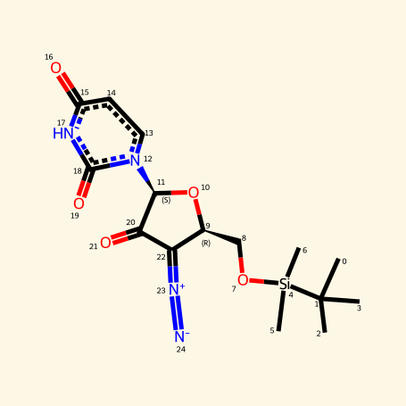 CC(C)(C)[Si](C)(C)OC[C@@H]1O[C@H](n2ccc(=O)[nH]c2=O)C(=O)C1=[N+]=[N-]